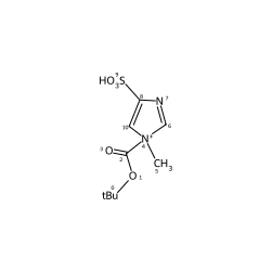 CC(C)(C)OC(=O)[N+]1(C)C=NC(S(=O)(=O)O)=C1